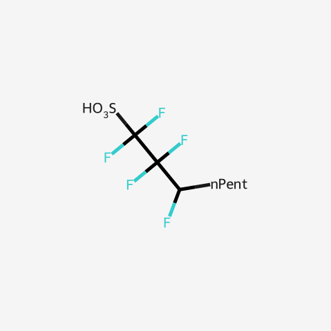 CCCCCC(F)C(F)(F)C(F)(F)S(=O)(=O)O